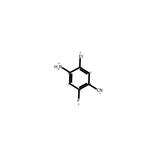 CCc1cc(C#N)c(F)cc1N